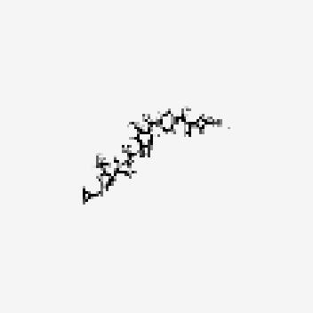 Cn1c(-c2cn(CC3CC3)nc2C(F)(F)F)cnc1C(=O)Nc1ccc(C(=O)N2CCN(C(=O)NC3CC(N)C3)CC2)c(Cl)c1